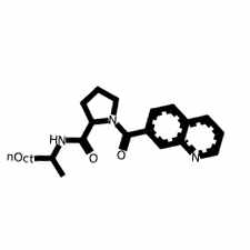 CCCCCCCCC(C)NC(=O)C1CCCN1C(=O)c1ccc2cccnc2c1